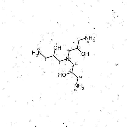 NCC(O)CN(CC(O)CN)CC(O)CN